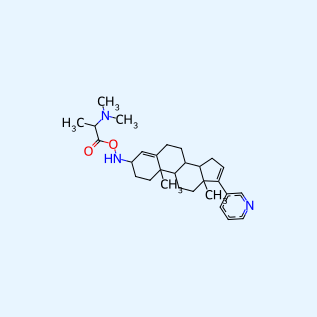 CC(C(=O)ONC1C=C2CCC3C(CCC4(C)C(c5cccnc5)=CCC34)C2(C)CC1)N(C)C